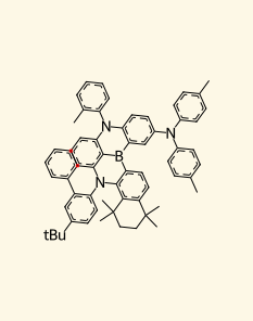 Cc1ccc(N(c2ccc(C)cc2)c2ccc3c(c2)B2c4ccc5c(c4N(c4ccc(C(C)(C)C)cc4-c4ccccc4)c4cccc(c42)N3c2ccccc2C)C(C)(C)CCC5(C)C)cc1